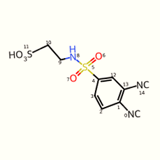 [C-]#[N+]c1ccc(S(=O)(=O)NCCS(=O)(=O)O)cc1[N+]#[C-]